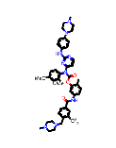 COc1ccc(N(C(=O)Oc2cc(NC(=O)c3ccc(CN4CCN(C)CC4)c(C(F)(F)F)c3)ccc2C)c2ccnc(Nc3ccc(N4CCN(C)CC4)cc3)n2)c(OC)c1